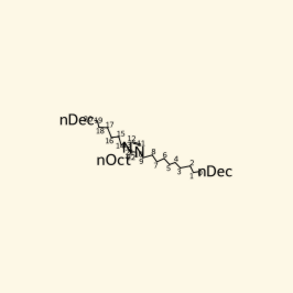 CCCCCCCCCCCCCCCCCCCN1C=CN(CCCCCCCCCCCCCCCC)C1CCCCCCCC